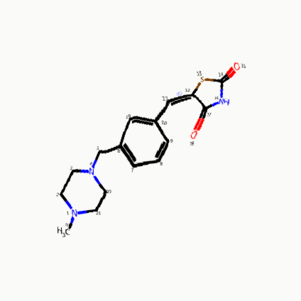 CN1CCN(Cc2cccc(/C=C3/SC(=O)NC3=O)c2)CC1